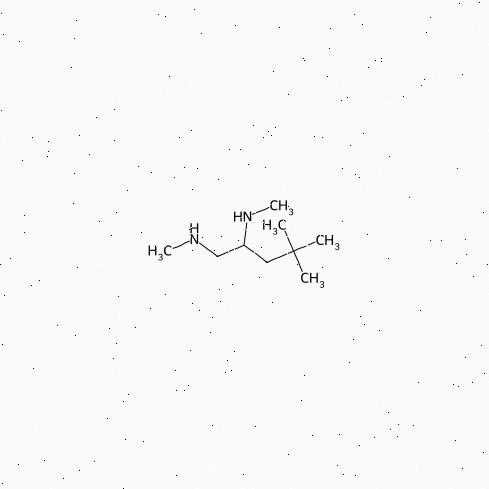 CNCC(CC(C)(C)C)NC